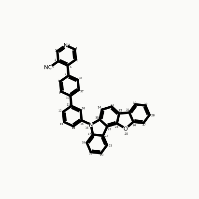 N#Cc1cnccc1-c1ccc(-c2cccc(-n3c4ccccc4c4c5oc6ccccc6c5ccc43)c2)cc1